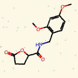 COc1ccc(CNC(=O)C2CCC(=O)O2)c(OC)c1